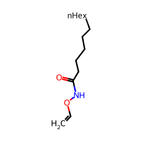 C=CONC(=O)CCCCCCCCCCC